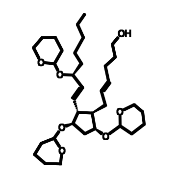 CCCCC[C@@H](C=C[C@@H]1[C@@H](CC=CCCCO)[C@@H](OC2CCCCO2)C[C@H]1OC1CCCCO1)OC1CCCCO1